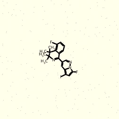 CC1(C)N=C(c2cnn3c(F)cc(I)c3c2)c2cccc(F)c2C1(C)C